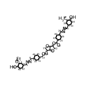 CCOc1cc(/C=N/N=C/c2ccc(COO[C@@H]3COC4C(OC(=O)c5ccc(/C=N/N=C/c6ccc(O)c(C)c6)cc5)COC43)cc2)ccc1O